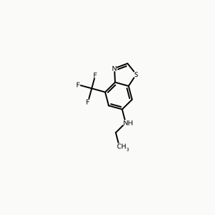 CCNc1cc(C(F)(F)F)c2ncsc2c1